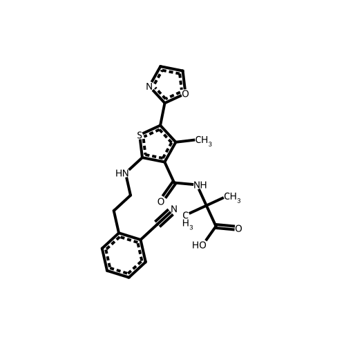 Cc1c(-c2ncco2)sc(NCCc2ccccc2C#N)c1C(=O)NC(C)(C)C(=O)O